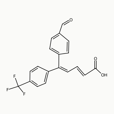 O=Cc1ccc(/C(=C\C=C\C(=O)O)c2ccc(C(F)(F)F)cc2)cc1